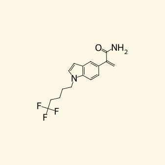 C=C(C(N)=O)c1ccc2c(ccn2CCCCC(F)(F)F)c1